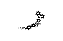 O=C(O)CCc1ccc(-c2ccc(S(=O)(=O)N[C@H]3CC[C@H](C(=O)N4CCCCC4c4ccccc4)CC3)cc2)cc1